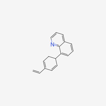 C=CC1=CCC(c2cccc3cccnc23)C=C1